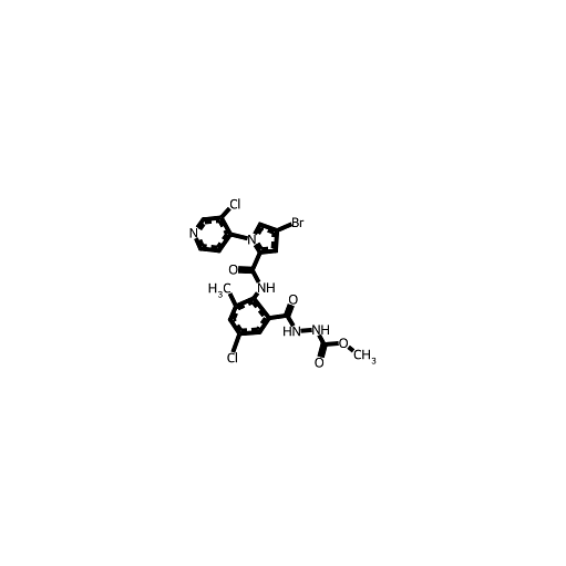 COC(=O)NNC(=O)c1cc(Cl)cc(C)c1NC(=O)c1cc(Br)cn1-c1ccncc1Cl